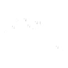 O=C(Cc1nsc(NS(=O)(=O)c2ccc(-c3cccc([N+](=O)[O-])c3)cc2)n1)N1CCOCC1